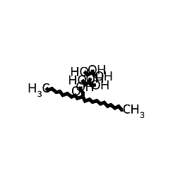 CCCCCCCCCCCCC(CCCCCCCCCC)CC(=O)O.OCC(O)CO.OCC(O)CO